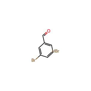 Br.O=Cc1cccc(Br)c1